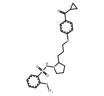 O=C(c1ccc(OCCCC2CCCN2NS(=O)(=O)c2ccccc2OC(F)(F)F)cc1)C1CC1